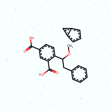 COC(Cc1ccccc1)c1ccc(C(=O)O)cc1C(=O)O.c1cc2cc-2c1